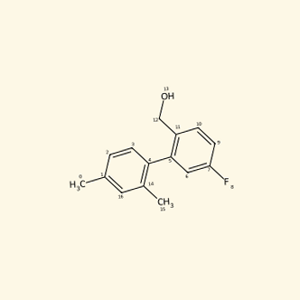 Cc1ccc(-c2cc(F)ccc2CO)c(C)c1